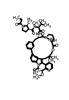 C=CC(=O)N1CC[C@H](C(=O)N(C)C(C(=O)N[C@H]2Cc3cccc(c3)-c3ccc4c(c3)c(c(-c3cccnc3[C@H](C)OC)n4CC)CC(C)(C)COC(=O)[C@@H]3CCCN(N3)C2=O)C(C)C)[C@@H]1C